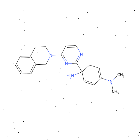 CN(C)C1=CCC(N)(c2nccc(N3CCc4ccccc4C3)n2)C=C1